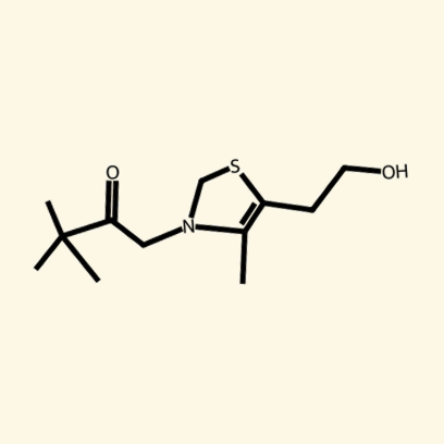 CC1=C(CCO)SCN1CC(=O)C(C)(C)C